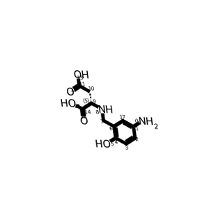 Nc1ccc(O)c(CN[C@@H](CC(=O)O)C(=O)O)c1